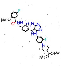 COc1ccc(F)cc1C(=O)NCc1ccc(-c2nn(-c3ccc(N4CCC(C(OC)OC)CC4)c(F)c3)c3ncnc(N)c23)cc1